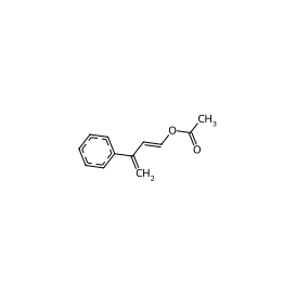 C=C(C=COC(C)=O)c1ccccc1